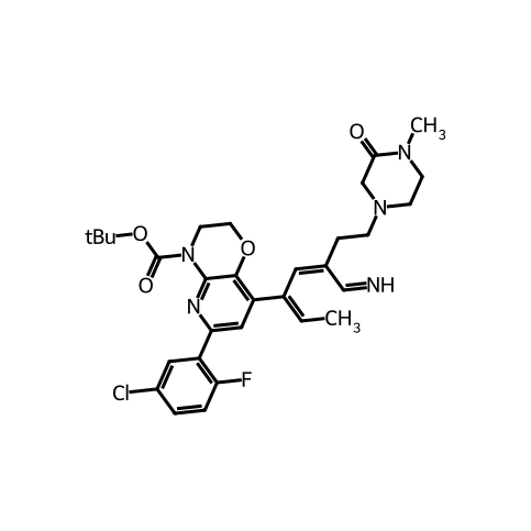 C/C=C(\C=C(/C=N)CCN1CCN(C)C(=O)C1)c1cc(-c2cc(Cl)ccc2F)nc2c1OCCN2C(=O)OC(C)(C)C